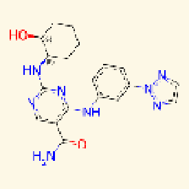 NC(=O)c1cnc(N[C@@H]2CCCC[C@@H]2O)nc1Nc1cccc(-n2nccn2)c1